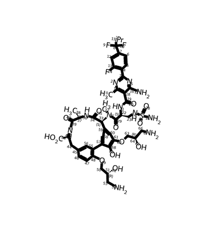 Cc1nc(-c2ccc(C(F)(F)C(C)C)cc2F)nc(N)c1C(=O)N[C@@H](CNS(N)(=O)=O)C(=O)N(C)[C@@H]1C(=O)N[C@@H](C)C(=O)N[C@H](C(=O)O)Cc2ccc(OC[C@H](O)CN)c(c2)-c2cc1cc(OC[C@H](O)CN)c2O